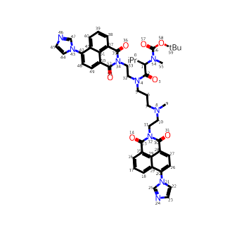 CC(C)C(C(=O)N(CCCN(C)CCN1C(=O)c2cccc3c(-n4ccnc4)ccc(c23)C1=O)CCN1C(=O)c2cccc3c(-n4ccnc4)ccc(c23)C1=O)N(C)C(=O)OC(C)(C)C